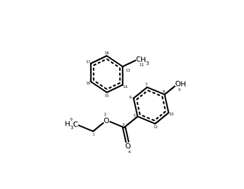 CCOC(=O)c1ccc(O)cc1.Cc1ccccc1